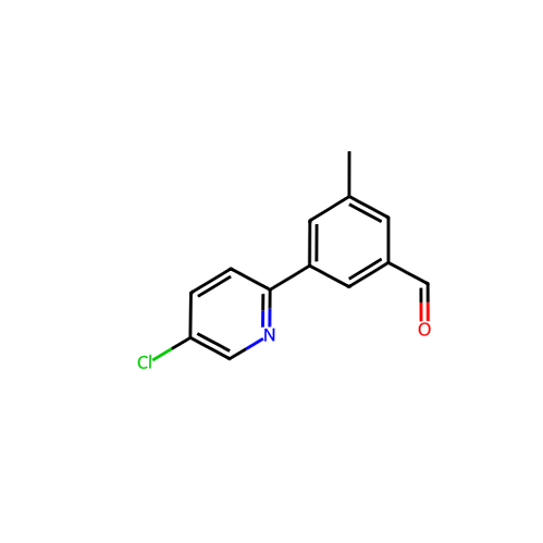 Cc1cc(C=O)cc(-c2ccc(Cl)cn2)c1